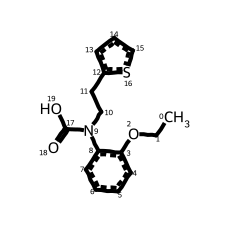 CCOc1ccccc1N(CCc1cccs1)C(=O)O